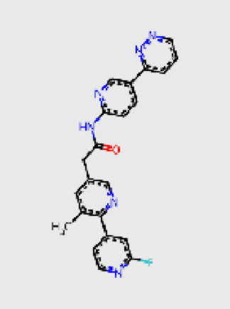 Cc1cc(CC(=O)Nc2ccc(-c3cccnn3)cn2)cnc1-c1ccnc(F)c1